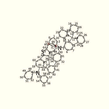 c1ccc(N(c2ccc3c(c2)C(c2ccccc2)(c2ccccc2)c2ccccc2-3)c2ccc3c(c2)C2(c4ccccc4-3)c3cc(N(c4ccccc4)c4ccccc4)ccc3-c3sc4ccccc4c32)cc1